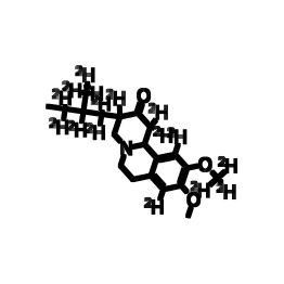 [2H]c1c2c(c([2H])c(OC([2H])([2H])[2H])c1OC)C1N(CC2)CC([2H])(C([2H])([2H])C([2H])(C([2H])([2H])[2H])C([2H])([2H])C)C(=O)C1([2H])[2H]